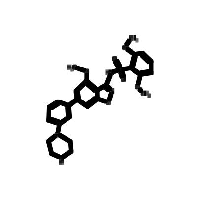 COc1cccc(OC)c1S(=O)(=O)Nc1noc2cc(-c3cccc(N4CCNCC4)c3)cc(OC)c12